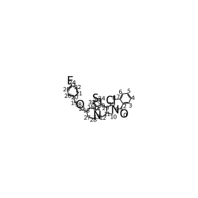 O=C(c1ccccc1Cl)N1CC(CN2CCC(COCc3ccc(F)cc3)CC2)C(c2ccsc2)C1